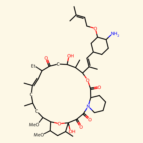 CCC1/C=C(\C)CC(C)CC(OC)C2OC(O)(C(=O)C(=O)N3CCCCC3C(=O)OC(C(C)=CC3CCC(N)C(OCC=C(C)C)C3)C(C)C(O)CC1=O)C(C)CC2OC